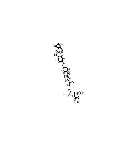 CC(C)(C)OC(=O)N[C@@H](CC(CCCC(=O)NCC(=O)Nc1ccc(/N=N/c2ccc(NC(=O)CN3C(=O)C=CC3=O)cc2)cc1)C(=O)O)C(=O)O